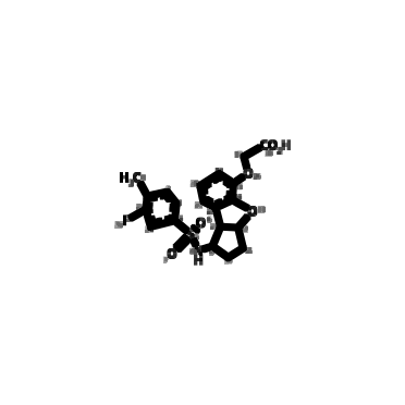 Cc1ccc(S(=O)(=O)NC2CCC3Oc4c(OCC(=O)O)cccc4C23)cc1F